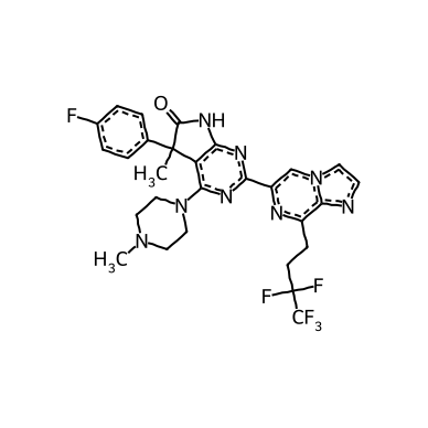 CN1CCN(c2nc(-c3cn4ccnc4c(CCC(F)(F)C(F)(F)F)n3)nc3c2C(C)(c2ccc(F)cc2)C(=O)N3)CC1